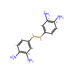 Nc1ccc(SSc2ccc(N)c(N)c2)cc1N